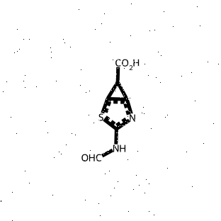 O=CNc1nc2c(s1)C2C(=O)O